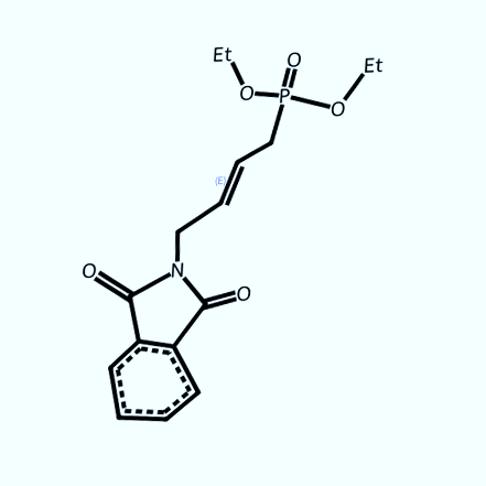 CCOP(=O)(C/C=C/CN1C(=O)c2ccccc2C1=O)OCC